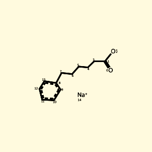 O=C([O-])CCCCCc1ccccc1.[Na+]